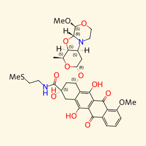 COc1cccc2c1C(=O)c1c(O)c3c(c(O)c1C2=O)C[C@@](O)(C(=O)NCCSC)C[C@@H]3O[C@H]1C[C@H]2[C@H](O[C@@H]3[C@@H](OC)OCCN32)[C@H](C)O1